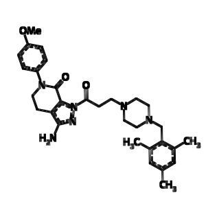 COc1ccc(N2CCc3c(N)nn(C(=O)CCN4CCN(Cc5c(C)cc(C)cc5C)CC4)c3C2=O)cc1